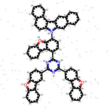 c1ccc2cc3c(cc2c1)c1c2ccccc2ccc1n3-c1ccc(-c2nc(-c3ccc4oc5ccccc5c4c3)nc(-c3ccc4oc5ccccc5c4c3)n2)c2c1oc1ccccc12